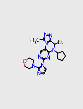 CCC1c2nnc(C)n2-c2cnc(-n3ccnc3N3CCOCC3)nc2N1C1CCCC1